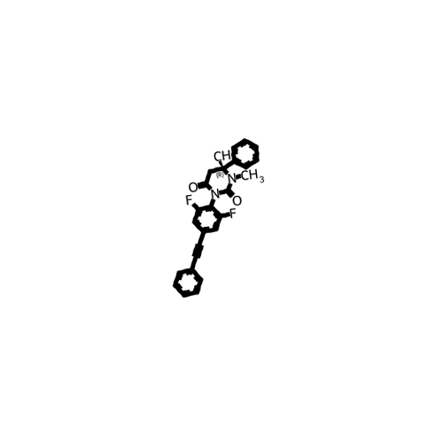 CN1C(=O)N(c2c(F)cc(C#Cc3ccccc3)cc2F)C(=O)C[C@]1(C)c1ccccc1